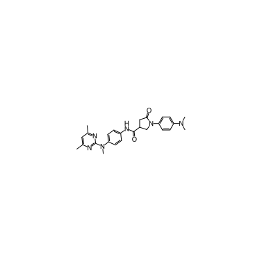 Cc1cc(C)nc(N(C)c2ccc(NC(=O)C3CC(=O)N(c4ccc(N(C)C)cc4)C3)cc2)n1